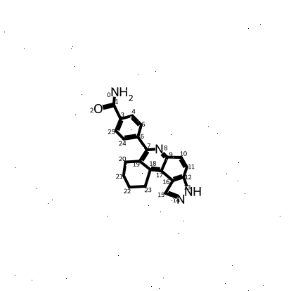 NC(=O)c1ccc(-c2nc3ccc4[nH]ncc4c3c3c2CCCC3)cc1